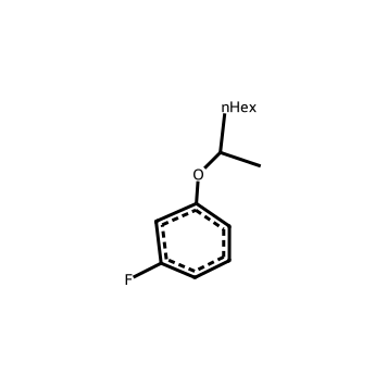 CCCCCCC(C)Oc1cccc(F)c1